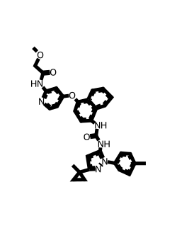 COCC(=O)Nc1cc(Oc2ccc(NC(=O)Nc3cc(C4(C)CC4)nn3-c3ccc(C)cc3)c3ccccc23)ccn1